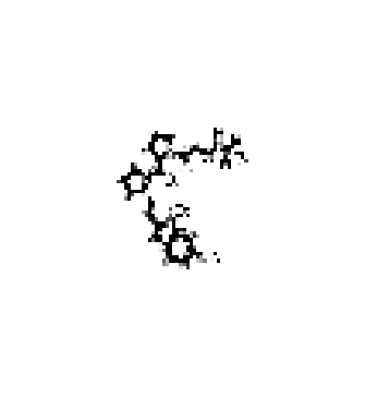 CCn1c(CC[C@@H]2CCCN2C(=O)[C@H]2CCCN2C(=O)CCNS(C)(=O)=O)cc2ccc(C#N)cc21